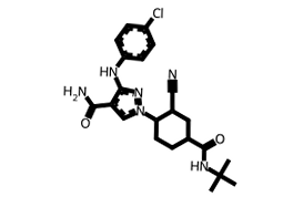 CC(C)(C)NC(=O)C1CCC(n2cc(C(N)=O)c(Nc3ccc(Cl)cc3)n2)C(C#N)C1